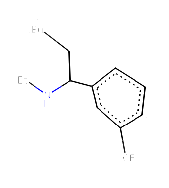 CCNC(CC(C)(C)C)c1cccc(C(F)(F)F)c1